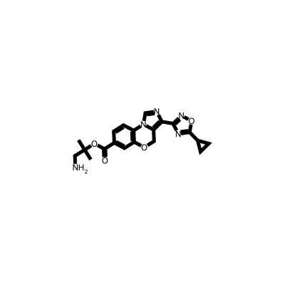 CC(C)(CN)OC(=O)c1ccc2c(c1)OCc1c(-c3noc(C4CC4)n3)ncn1-2